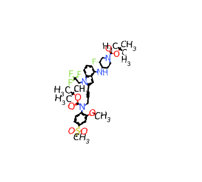 COc1cc(S(C)(=O)=O)ccc1N(CC#Cc1cc2c(N[C@H]3CCN(C(=O)OC(C)(C)C)C[C@H]3F)cccc2n1CC(F)(F)F)C(=O)OC(C)(C)C